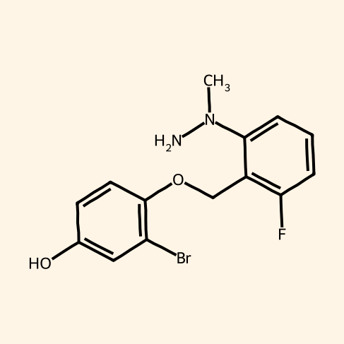 CN(N)c1cccc(F)c1COc1ccc(O)cc1Br